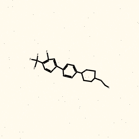 Fc1cc(-c2ccc(C3CCC(CCI)CC3)cc2)ccc1C(F)(F)F